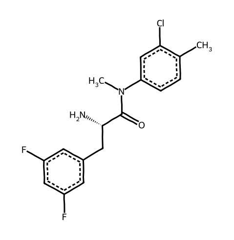 Cc1ccc(N(C)C(=O)[C@@H](N)Cc2cc(F)cc(F)c2)cc1Cl